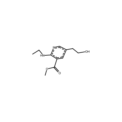 CCNc1ncc(CCO)cc1C(=O)OC